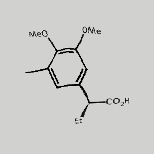 CC[C@H](C(=O)O)c1cc(C)c(OC)c(OC)c1